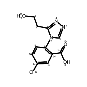 CCCc1nncn1-c1ccc(Cl)cc1C(=O)O